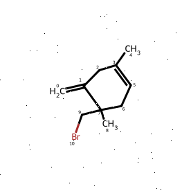 C=C1CC(C)=CCC1(C)CBr